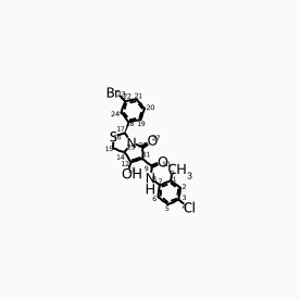 Cc1cc(Cl)ccc1NC(=O)C1=C(O)C2CS[C@@H](c3cccc(Br)c3)N2C1=O